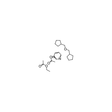 C1CCC(COCC2CCCC2)C1.CC(=O)O.CCOC(C)=O.c1ccncc1